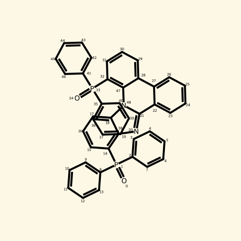 O=P(c1ccccc1)(c1ccccc1)c1cccc2c1nc1c3ccccc3c3cccc(P(=O)(c4ccccc4)c4ccccc4)c3n21